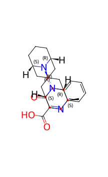 C[C@H]1CC[C@H]2C[C@@H]1C[C@H](N1[C@@H]3CCC[C@H]1C[C@@H](n1c(=O)c(C(=O)O)nc4ccccc41)C3)C2